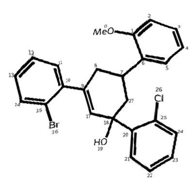 COc1ccccc1C1CC(c2ccccc2Br)=CC(O)(c2ccccc2Cl)C1